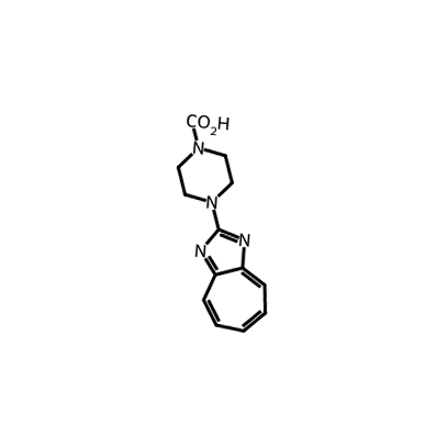 O=C(O)N1CCN(c2nc3cccccc-3n2)CC1